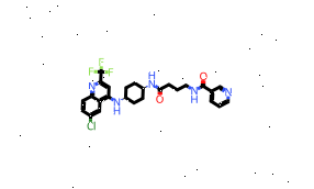 O=C(CCCNC(=O)c1cccnc1)N[C@H]1CC[C@@H](Nc2cc(C(F)(F)F)nc3ccc(Cl)cc23)CC1